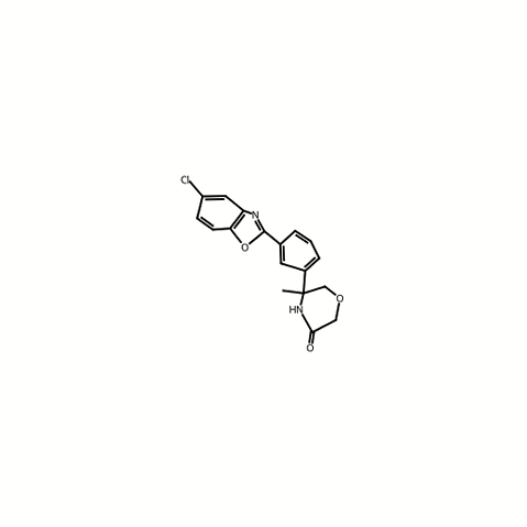 CC1(c2cccc(-c3nc4cc(Cl)ccc4o3)c2)COCC(=O)N1